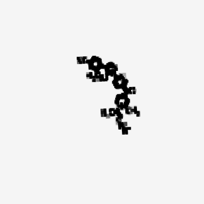 Cc1cc(C#N)ccc1-c1cnn(-c2ccc(C(=O)N3CCN(C(C)CN=[N+]=[N-])[C@H](C)C3)cn2)c1O